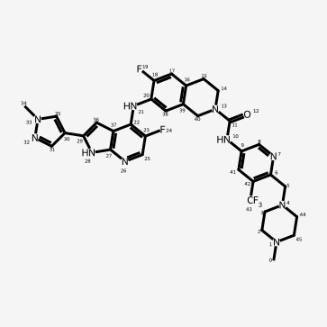 CN1CCN(Cc2ncc(NC(=O)N3CCc4cc(F)c(Nc5c(F)cnc6[nH]c(-c7cnn(C)c7)cc56)cc4C3)cc2C(F)(F)F)CC1